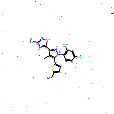 CCCc1ccc(-c2c(C)c(-c3nc(CC)no3)nn2-c2ccc(Cl)cc2Cl)s1